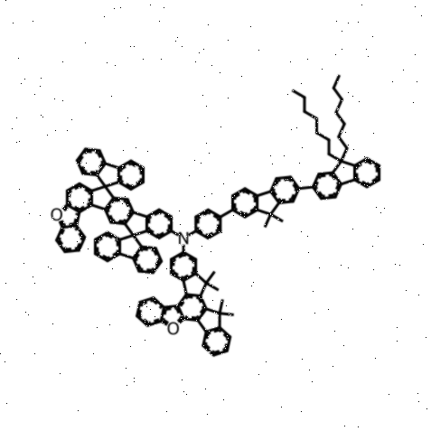 CCCCCCCC1(CCCCCCC)c2ccccc2-c2ccc(-c3ccc4c(c3)C(C)(C)c3cc(-c5ccc(N(c6ccc7c(c6)C(C)(C)c6c8c(c9oc%10ccccc%10c9c6-7)-c6ccccc6C8(C)C)c6ccc7c(c6)C6(c8ccccc8-c8ccccc86)c6cc8c(cc6-7)C6(c7ccccc7-c7ccccc76)c6ccc7oc9ccccc9c7c6-8)cc5)ccc3-4)cc21